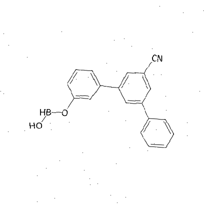 N#Cc1cc(-c2ccccc2)cc(-c2cccc(OBO)c2)c1